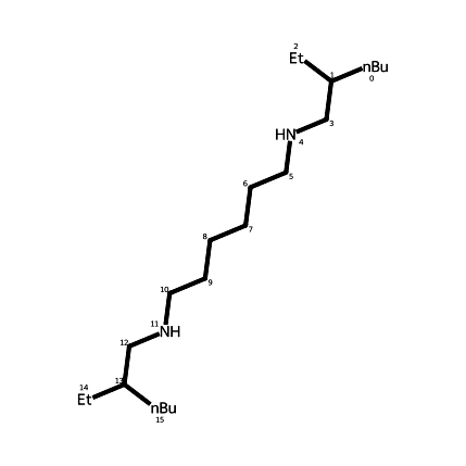 CCCCC(CC)CNCCCCCCNCC(CC)CCCC